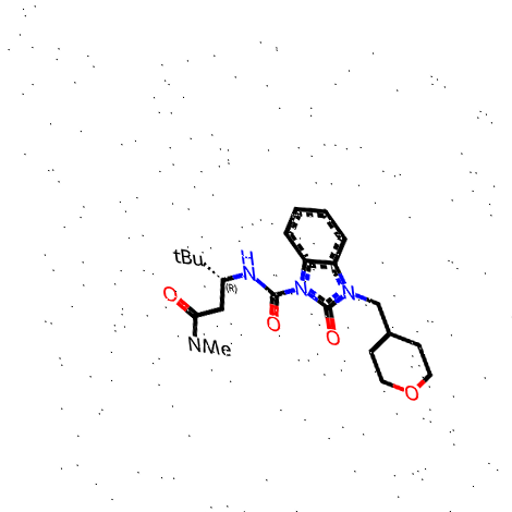 CNC(=O)C[C@@H](NC(=O)n1c(=O)n(CC2CCOCC2)c2ccccc21)C(C)(C)C